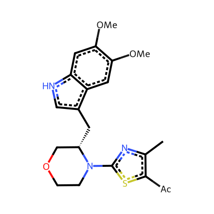 COc1cc2[nH]cc(C[C@H]3COCCN3c3nc(C)c(C(C)=O)s3)c2cc1OC